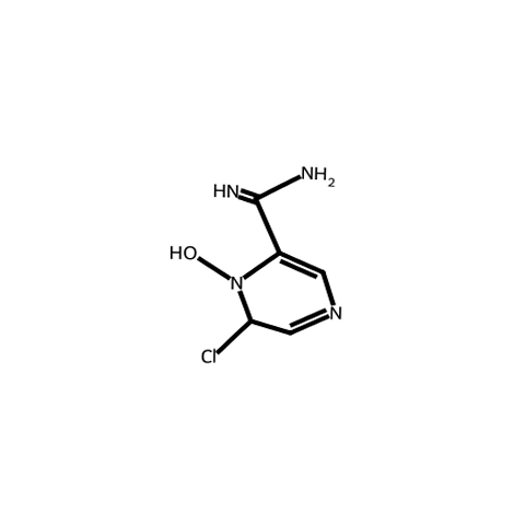 N=C(N)C1=CN=CC(Cl)N1O